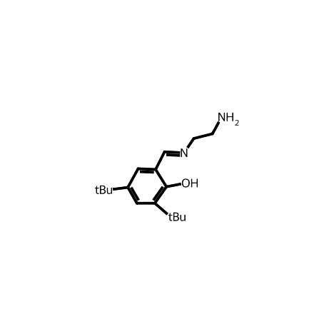 CC(C)(C)c1cc(C=NCCN)c(O)c(C(C)(C)C)c1